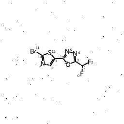 FC(F)c1nnc(-c2cnc(Br)s2)o1